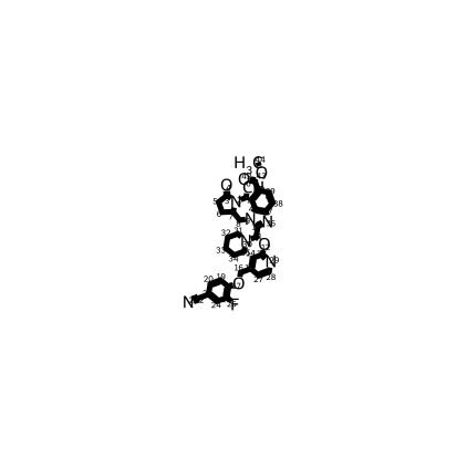 CCN1C(=O)CCC1Cn1c(C(Oc2cc(COc3ccc(C#N)cc3F)ccn2)N2CCCCC2)nc2ccc(C(=O)OC)cc21